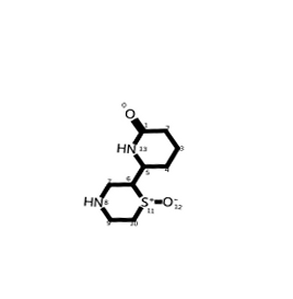 O=C1CCCC(C2CNCC[S+]2[O-])N1